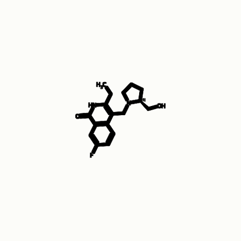 CCc1[nH]c(=O)c2cc(F)ccc2c1CN1CCC[C@H]1CO